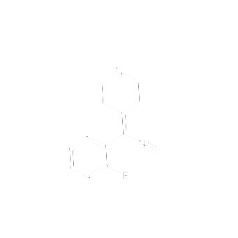 [C-]#[N+]C(=C1CCNCC1)c1ccccc1F